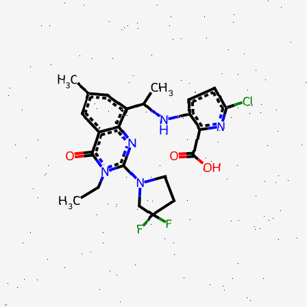 CCn1c(N2CCC(F)(F)C2)nc2c(C(C)Nc3ccc(Cl)nc3C(=O)O)cc(C)cc2c1=O